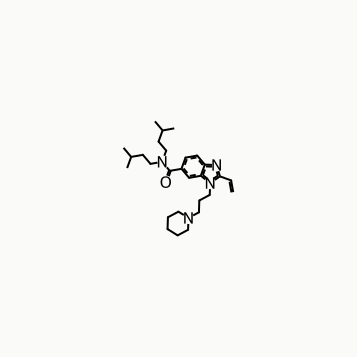 C=Cc1nc2ccc(C(=O)N(CCC(C)C)CCC(C)C)cc2n1CCCN1CCCCC1